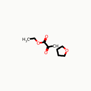 C1CCOC1.CCOC(=O)C(C)=O